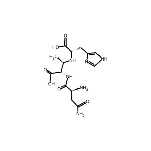 C[C@@H](N[C@@H](Cc1c[nH]cn1)C(=O)O)[C@H](NC(=O)[C@@H](N)CC(N)=O)C(=O)O